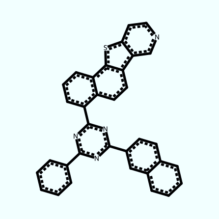 c1ccc(-c2nc(-c3ccc4ccccc4c3)nc(-c3cccc4c3ccc3c5cnccc5sc43)n2)cc1